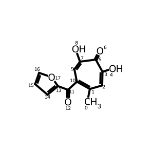 Cc1cc(O)c(=O)c(O)cc1C(=O)c1ccco1